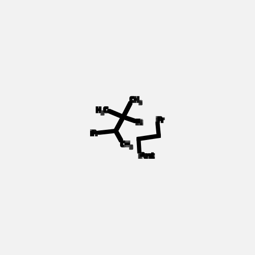 CCC(C)(C)C(C)C(C)C.CCCC(C)CCC(C)C